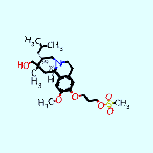 COc1cc2c(cc1OCCCOS(C)(=O)=O)CCN1C[C@@H](CC(C)C)C(C)(CO)C[C@H]21